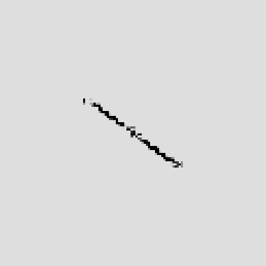 OCCCCCCCCOOOOCCCCCCCCO